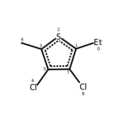 CCc1sc(C)c(Cl)c1Cl